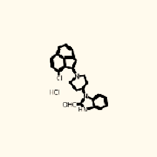 Cl.O=CC1Nc2ccccc2N1C1CCN(C2Cc3cccc4ccc(Cl)c2c34)CC1